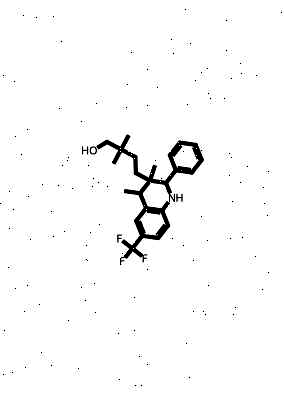 CC1c2cc(C(F)(F)F)ccc2NC(c2ccccc2)C1(C)CCC(C)(C)CO